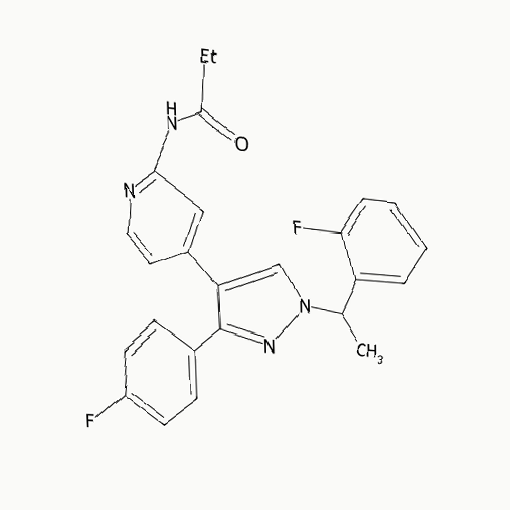 CCC(=O)Nc1cc(-c2cn(C(C)c3ccccc3F)nc2-c2ccc(F)cc2)ccn1